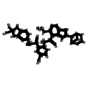 COc1ccc2nc(N3C4COCC3C4)sc2c1C(=O)Nc1nnc(Cl)cc1C(=O)Nc1ccc2c(c1)OC(F)(F)O2